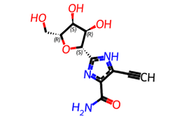 C#Cc1[nH]c([C@@H]2O[C@H](CO)[C@@H](O)[C@H]2O)nc1C(N)=O